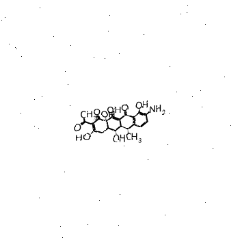 CC(=O)C1=C(O)CC2[C@@H](O)C3C(=C(O)[C@]2(O)C1=O)C(=O)c1c(ccc(N)c1O)[C@@H]3C